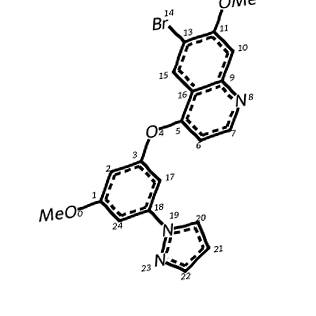 COc1cc(Oc2ccnc3cc(OC)c(Br)cc23)cc(-n2cccn2)c1